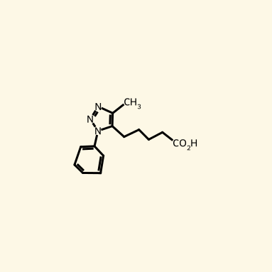 Cc1nnn(-c2ccccc2)c1CCCCC(=O)O